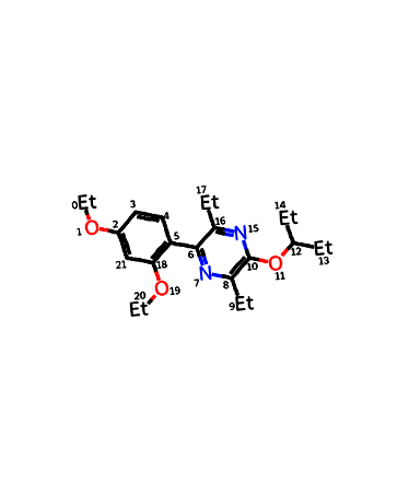 CCOc1ccc(-c2nc(CC)c(OC(CC)CC)nc2CC)c(OCC)c1